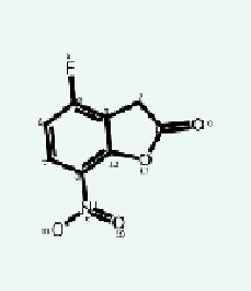 O=C1Cc2c(F)ccc([N+](=O)[O-])c2O1